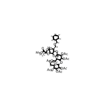 COC(=O)C1(C)OC2C(OC(C)=O)[C@H](O[C@@H]3OC(COC(C)=O)[C@H](O[C@H]4OC(COC(C)=O)[C@H](OC(C)=O)[C@@H](OC(C)=O)C4OC(C)=O)[C@@H](OC(C)=O)C3OC(C)=O)[C@H](COCc3ccccc3)O[C@@H]2O1